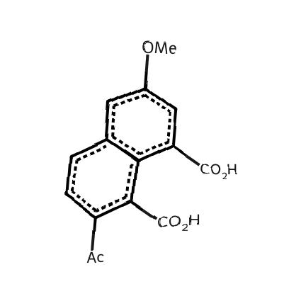 COc1cc(C(=O)O)c2c(C(=O)O)c(C(C)=O)ccc2c1